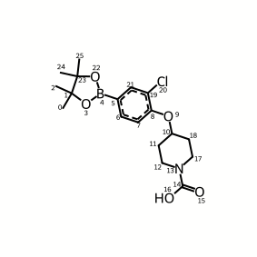 CC1(C)OB(c2ccc(OC3CCN(C(=O)O)CC3)c(Cl)c2)OC1(C)C